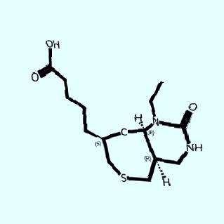 CCN1C(=O)NC[C@H]2CSC[C@@H](CCCCC(=O)O)C[C@H]21